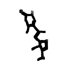 COc1csc(C=C(C)C2=NNC(=O)CC2C)c1C